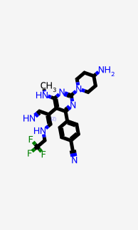 CNc1nc(N2CCC(N)CC2)nc(-c2ccc(C#N)cc2)c1/C(C=N)=C/NCC(F)(F)F